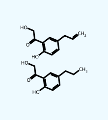 C=CCc1ccc(O)c(C(=O)CO)c1.CCCc1ccc(O)c(C(=O)CO)c1